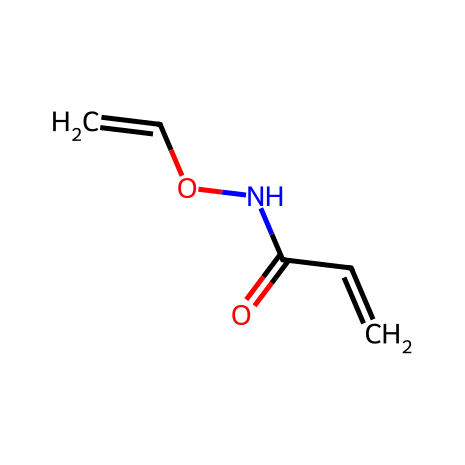 C=CONC(=O)C=C